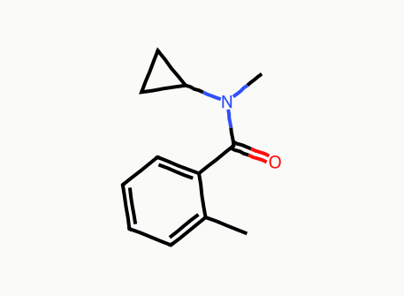 Cc1ccccc1C(=O)N(C)C1CC1